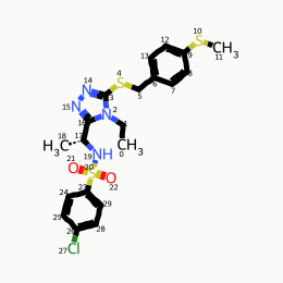 CCn1c(SCc2ccc(SC)cc2)nnc1[C@@H](C)NS(=O)(=O)c1ccc(Cl)cc1